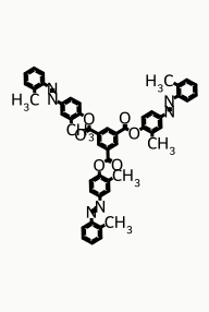 Cc1ccccc1/N=N/c1ccc(OC(=O)c2cc(C(=O)Oc3ccc(/N=N/c4ccccc4C)cc3C)cc(C(=O)Oc3ccc(/N=N/c4ccccc4C)cc3C)c2)c(C)c1